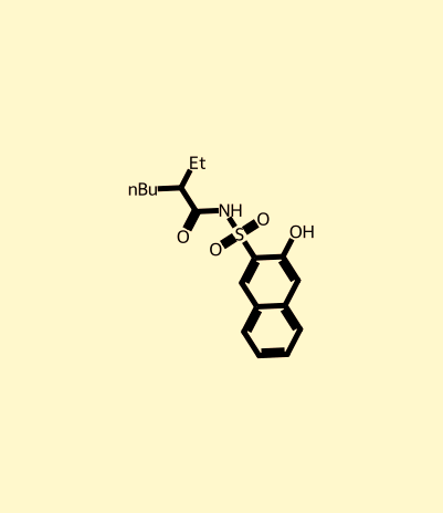 CCCCC(CC)C(=O)NS(=O)(=O)c1cc2ccccc2cc1O